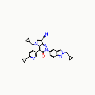 N#Cc1cn(CC2CC2)c2c(-c3ccc(C4CC4)nc3)c(=O)n(-c3ccc4nn(CC5CC5)cc4c3)nc12